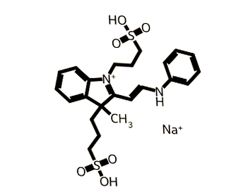 CC1(CCCS(=O)(=O)O)C(C=CNc2ccccc2)=[N+](CCCS(=O)(=O)O)c2ccccc21.[Na+]